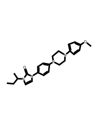 CCC(C)n1ccn(-c2ccc(N3CCN(c4ccc(OC)cc4)CC3)cc2)c1=O